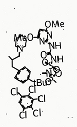 CC(Cc1ccc(C(C)(C)C)cc1)CN1CCCCC1.COc1cc(OC)nc(NC(=O)NS(=O)(=O)N(C)S(C)(=O)=O)n1.Clc1cc(Cl)c(Cl)c(Cl)c1Cl